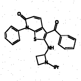 CC(C)N1CCC1Nc1sc2c(ccc(=O)n2-c2ccccc2)c1C(=O)c1ccccc1